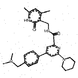 Cc1cc(C)c(CNC(=O)c2cc(-c3ccc(CN(C)C)cc3)cc(N3CCCCC3)n2)c(=O)[nH]1